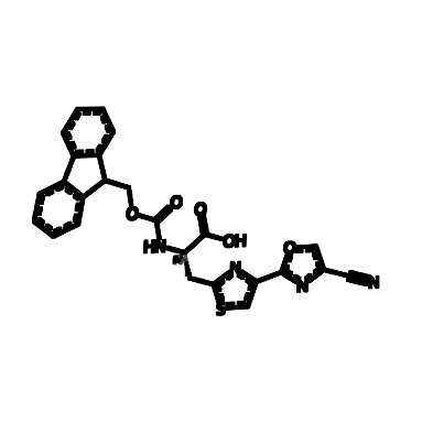 N#Cc1coc(-c2csc(C[C@H](NC(=O)OCC3c4ccccc4-c4ccccc43)C(=O)O)n2)n1